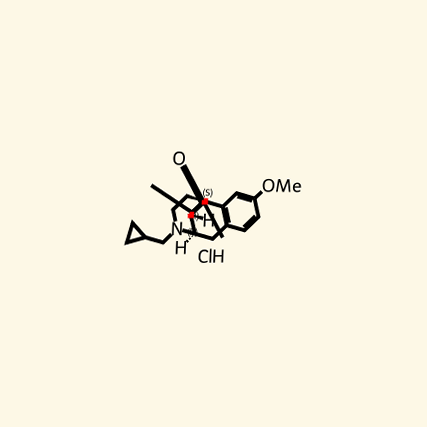 COc1ccc2c(c1)[C@]13CCN(CC4CC4)[C@H](C2)[C@@H]1CC(C)C(=O)C3.Cl